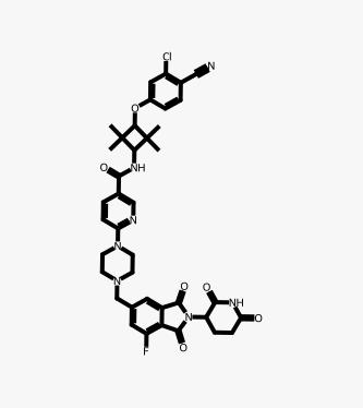 CC1(C)C(NC(=O)c2ccc(N3CCN(Cc4cc(F)c5c(c4)C(=O)N(C4CCC(=O)NC4=O)C5=O)CC3)nc2)C(C)(C)C1Oc1ccc(C#N)c(Cl)c1